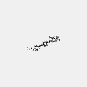 CCCCc1ccc(C#Cc2ccc(C#Cc3ccc(CC)cc3F)cc2)cc1